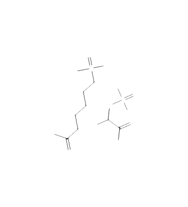 CC(OP(=O)(Cl)Cl)C(=O)Cl.O=C(Cl)CCCCCP(=O)(Cl)Cl